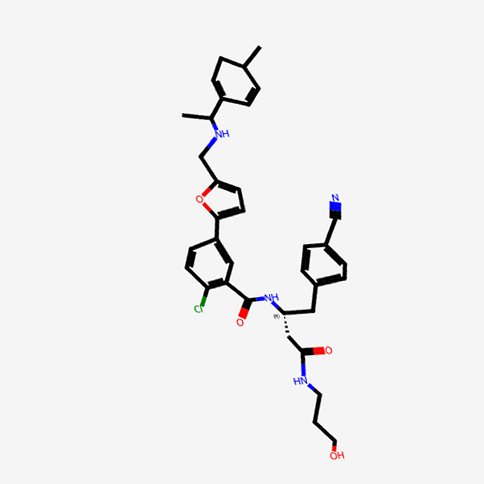 CC1C=CC(C(C)NCc2ccc(-c3ccc(Cl)c(C(=O)N[C@@H](CC(=O)NCCCO)Cc4ccc(C#N)cc4)c3)o2)=CC1